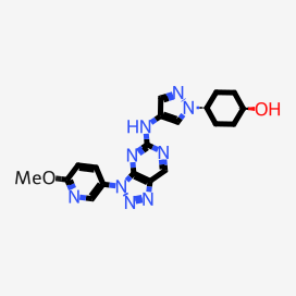 COc1ccc(-n2nnc3cnc(Nc4cnn([C@H]5CC[C@H](O)CC5)c4)nc32)cn1